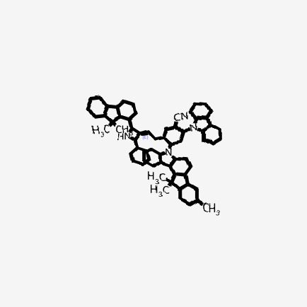 CC1CCC2C(C1)C1CCC3C(C4CCCCC4N3C3CC(N4C5=C(CCCC5)C5CCCCC54)C(C#N)CC3C/C=C3\C(C4CCCCC4)NC3C3CCCC4C5CCCCC5C(C)(C)C34)C1C2(C)C